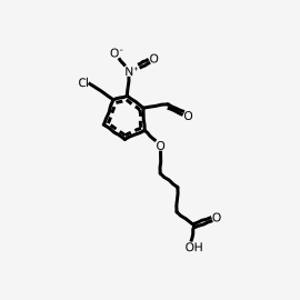 O=Cc1c(OCCCC(=O)O)ccc(Cl)c1[N+](=O)[O-]